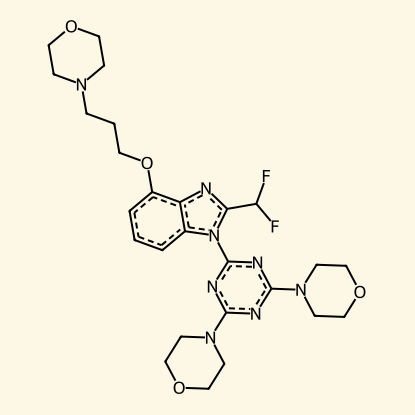 FC(F)c1nc2c(OCCCN3CCOCC3)cccc2n1-c1nc(N2CCOCC2)nc(N2CCOCC2)n1